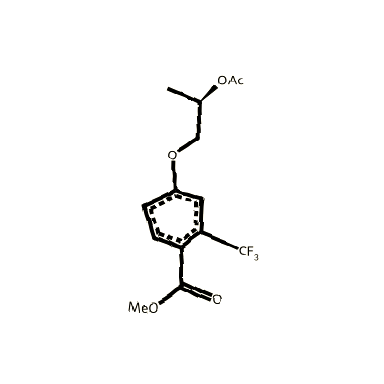 COC(=O)c1ccc(OC[C@@H](C)OC(C)=O)cc1C(F)(F)F